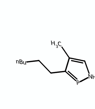 CCCCCCc1p[nH]cc1C